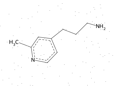 Cc1cc(CCCN)ccn1